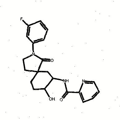 O=C(NC1CC2(CCC1O)CCN(c1cccc(F)c1)C2=O)c1ccccn1